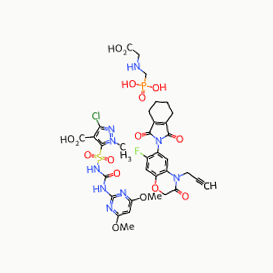 C#CCN1C(=O)COc2cc(F)c(N3C(=O)C4=C(CCCC4)C3=O)cc21.COc1cc(OC)nc(NC(=O)NS(=O)(=O)c2c(C(=O)O)c(Cl)nn2C)n1.O=C(O)CNCP(=O)(O)O